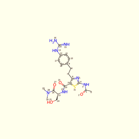 CC(=O)Nc1nc(CCc2ccc(NC(=N)N)cc2)c(C(=O)N[C@@H](CO)C(=O)N(C)C)s1